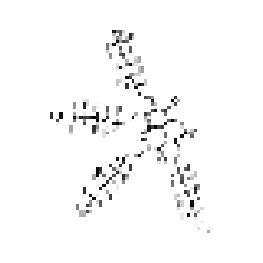 O=C(CC(C(=O)OCCC(F)(F)C(F)(F)C(F)(F)C(F)(F)C(F)(F)C(F)(F)F)C(CC(=O)OCCC(F)(F)C(F)(F)C(F)(F)C(F)(F)C(F)(F)C(F)(F)F)C(=O)OCCC(F)(F)C(F)(F)C(F)(F)C(F)(F)C(F)(F)C(F)(F)F)OCCC(F)(F)C(F)(F)C(F)(F)C(F)(F)C(F)(F)C(F)(F)F